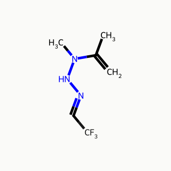 C=C(C)N(C)N/N=C/C(F)(F)F